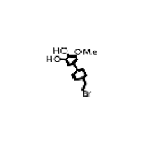 COc1cc(-c2ccc(CCBr)cc2)cc(O)c1O